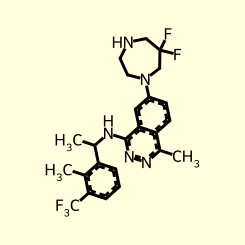 Cc1c(C(C)Nc2nnc(C)c3ccc(N4CCNCC(F)(F)C4)cc23)cccc1C(F)(F)F